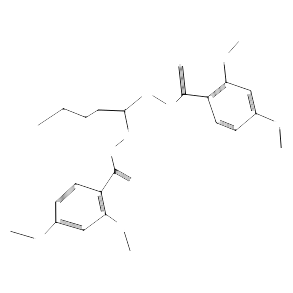 [CH2]CCC[C](OOC(=O)c1ccc(OC)cc1OC)OOC(=O)c1ccc(OC)cc1OC